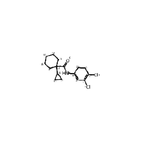 O=C(NC1=CC(Cl)=C(Cl)C[CH]1)C1(C2CC2)CCCCC1